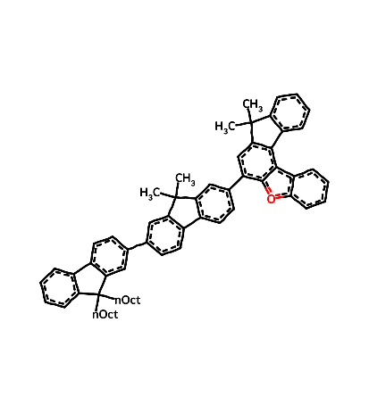 CCCCCCCCC1(CCCCCCCC)c2ccccc2-c2ccc(-c3ccc4c(c3)C(C)(C)c3cc(-c5cc6c(c7c5oc5ccccc57)-c5ccccc5C6(C)C)ccc3-4)cc21